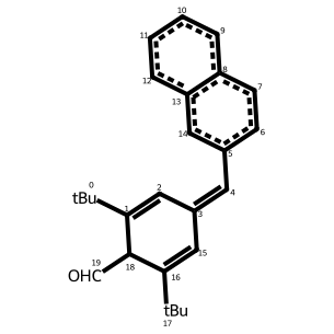 CC(C)(C)C1=CC(=Cc2ccc3ccccc3c2)C=C(C(C)(C)C)C1C=O